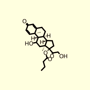 CCCC(=O)O[C@]1(C(=O)CO)CC[C@H]2[C@@H]3CCC4=CC(=O)C=C[C@]4(C)[C@H]3C(O)C[C@@]21C